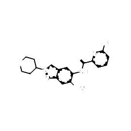 COc1cc2nn(C3CCOCC3)cc2cc1NC(=O)c1cccc(C(F)(F)F)n1